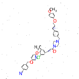 COc1ccc(OC/C=C/c2ccc(CN3CCN(C(=O)/C=C/c4cc(C)c(Oc5ccc(OCc6ccc(C#N)cc6)cn5)c(Cl)c4)CC3)cc2)cc1